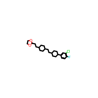 Fc1ccc(C2CCC(CCC3CCC(CCC4OCCO4)CC3)CC2)cc1Cl